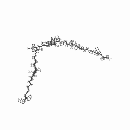 O=C(O)CCCCCCCCCCCCCCCCC(=O)NC(CCCCN1C=C(COCCOCCOCCOCCOCCNC(=O)CBr)NN1)C(=O)O